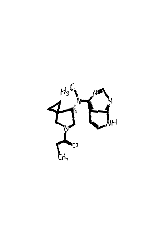 CCC(=O)N1C[C@@H](N(C)c2ncnc3[nH]ccc23)C2(CC2)C1